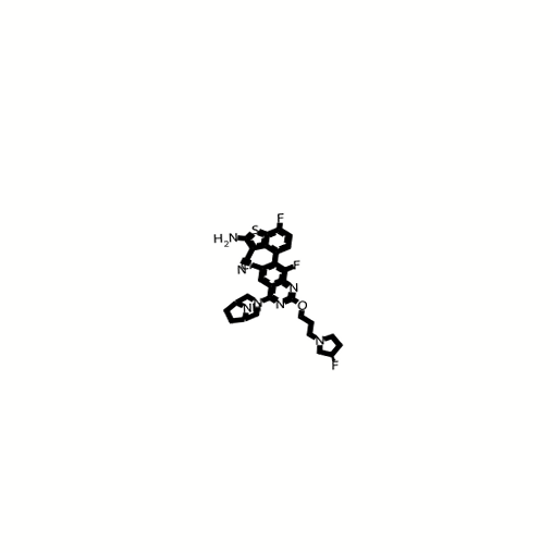 N#Cc1c(N)sc2c(F)ccc(-c3c(Cl)cc4c(N5CC6CCC(C5)N6)nc(OCCCN5CC[C@@H](F)C5)nc4c3F)c12